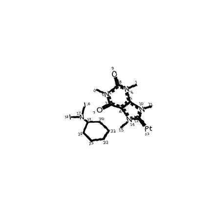 Cn1c(=O)c2c(n(C)c1=O)n(C)[c](=[Pt])n2C.IN(I)C1CCCCC1